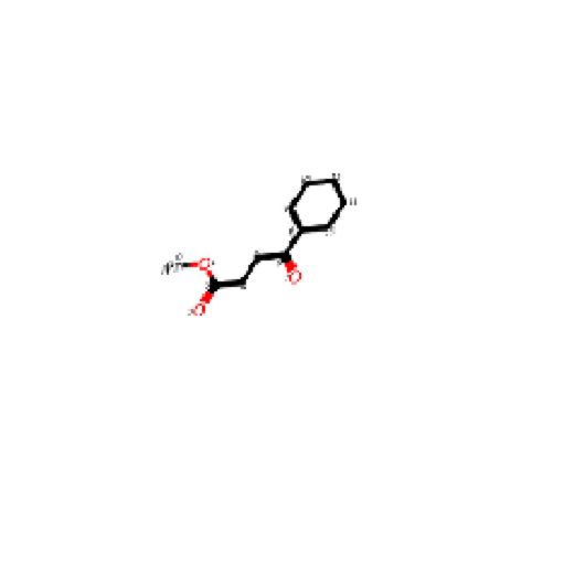 CC(C)OC(=O)CCC(=O)C1CCCCC1